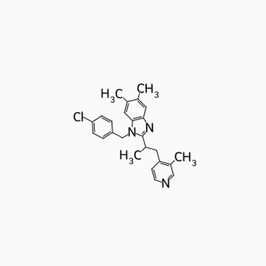 Cc1cc2nc(C(C)Cc3ccncc3C)n(Cc3ccc(Cl)cc3)c2cc1C